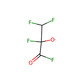 [O]C(F)(C(=O)F)C(F)F